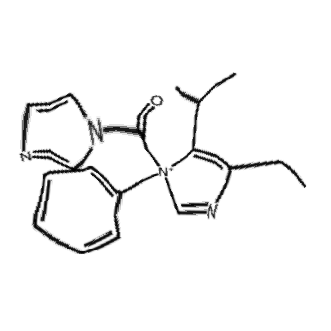 CCC1=C(C(C)C)[N+](C(=O)n2ccnc2)(c2ccccc2)C=N1